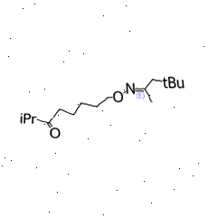 C/C(CC(C)(C)C)=N\OCCCCCC(=O)C(C)C